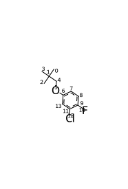 CC(C)(C)COc1ccc(F)c(Cl)c1